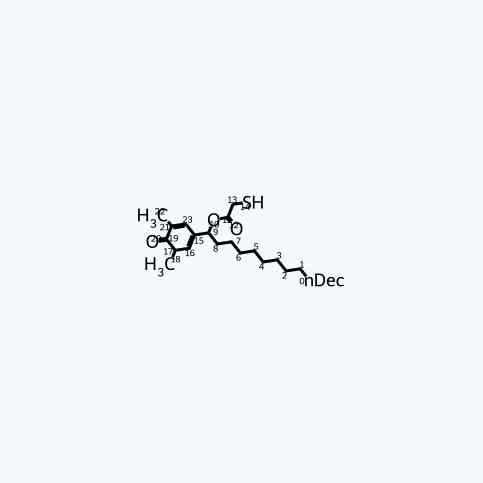 CCCCCCCCCCCCCCCCCCC(OC(=O)CS)C1=CC(C)C(=O)C(C)=C1